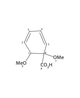 COC1C=CC=CC1(OC)C(=O)O